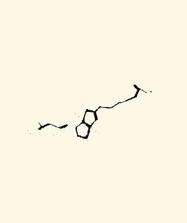 CCCC[C@](C)(O)C/C=C/[C@@H]1[C@H]2CC(CCCCC(=O)NCC)=C[C@H]2C[C@H]1O